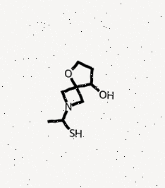 CC(S)N1CC2(C1)OCCC2O